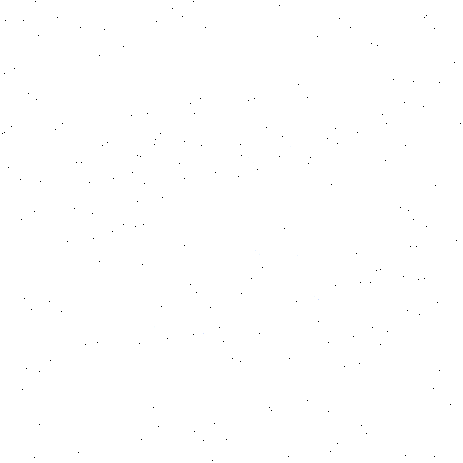 CS(=O)(=O)N1CCN(Cc2cc3nc(-c4ccc5[nH]c(=O)[nH]c5c4)nc(N4CCOCC4)c3s2)CC1